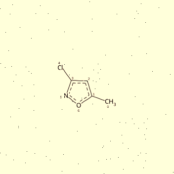 Cc1cc(Cl)no1